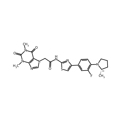 C[C@H]1CCCN1c1ccc(-c2csc(NC(=O)Cn3cnc4c3c(=O)n(C)c(=O)n4C)n2)cc1F